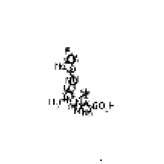 C[C@H]1C[C@@H](Oc2ccnc(COc3ccc(F)cc3C#N)n2)CCN1Cc1nc2ncc(C(=O)O)cc2n1C[C@@H]1CCO1